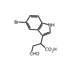 O=CCC(C(=O)O)c1c[nH]c2ccc(Br)cc12